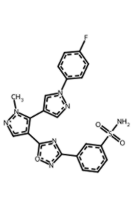 Cn1ncc(-c2nc(-c3cccc(S(N)(=O)=O)c3)no2)c1-c1cnn(-c2ccc(F)cc2)c1